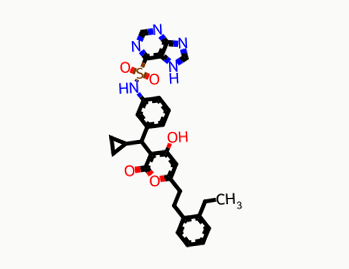 CCc1ccccc1CCc1cc(O)c(C(c2cccc(NS(=O)(=O)c3ncnc4nc[nH]c34)c2)C2CC2)c(=O)o1